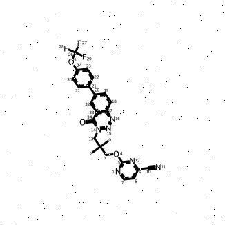 CC(C)(COc1nccc(C#N)n1)Cn1nnc2ccc(-c3ccc(OC(F)(F)F)cc3)cc2c1=O